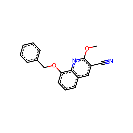 COc1nc2c(OCc3ccccc3)cccc2cc1C#N